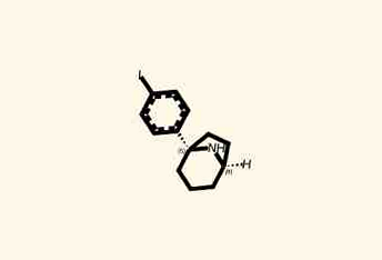 Ic1ccc([C@]23CCC[C@H](CC2)N3)cc1